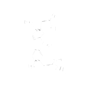 CC(C)Cc1cc([S+]([O-])c2ccc(O)c(CC(C)C)c2)ccc1O